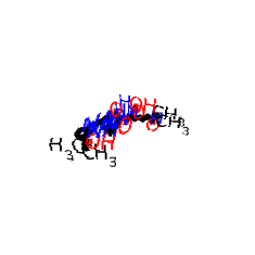 CC(C)C(O)c1cccc2nc(Cn3cccc(NC(=O)C(CC/C=C/C(=O)N(C)C)NC(=O)O)c3=O)[nH]c12